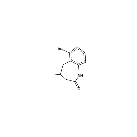 CC1CC(=O)Nc2cccc(Br)c2C1